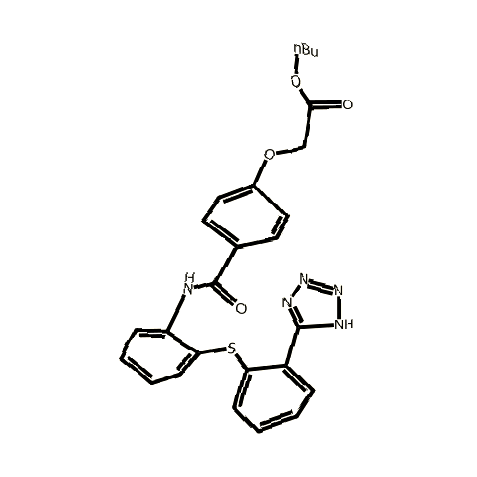 CCCCOC(=O)COc1ccc(C(=O)Nc2ccccc2Sc2ccccc2-c2nnn[nH]2)cc1